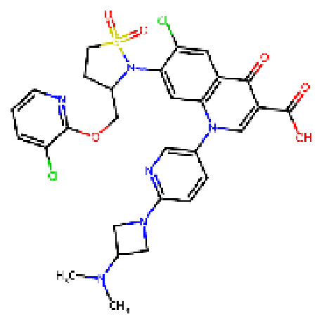 CN(C)C1CN(c2ccc(-n3cc(C(=O)O)c(=O)c4cc(Cl)c(N5C(COc6ncccc6Cl)CCS5(=O)=O)cc43)cn2)C1